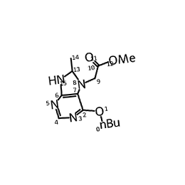 CCCCOc1ncnc2c1N(CC(=O)OC)C(C)N2